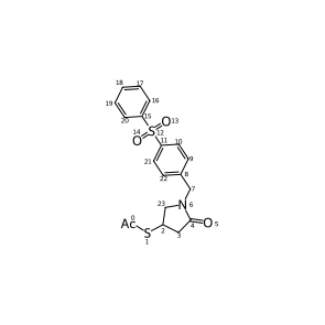 CC(=O)SC1CC(=O)N(Cc2ccc(S(=O)(=O)c3ccccc3)cc2)C1